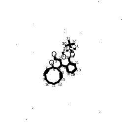 COC1C(=O)OC2C#CCCCCC#CC2C1c1ccccc1CO[Si](C)(C)C(C)(C)C